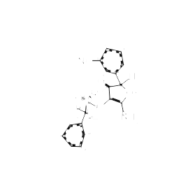 [2H]C1(c2cccc(C#N)c2)OC(N)=C(OS(=O)(=O)C([2H])([2H])c2ccccc2)C1=O